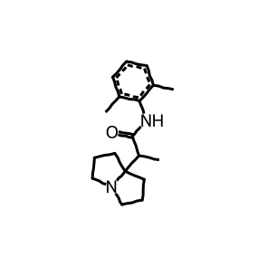 Cc1cccc(C)c1NC(=O)C(C)C12CCCN1CCC2